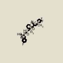 CC(C)(C=C(C#N)C(=O)N1CCCCC1(C)COC(=O)N[C@@H](Cc1ccc(F)cc1)B(O)O)N1CCC(F)(F)C1